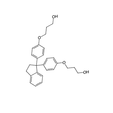 OCCCOc1ccc(C2(c3ccc(OCCCO)cc3)CCc3ccccc32)cc1